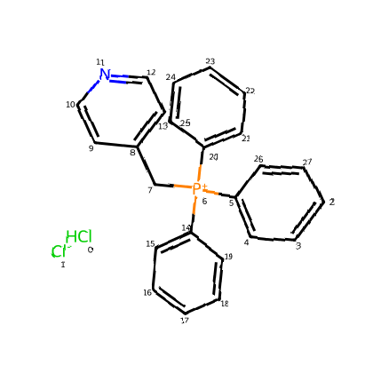 Cl.[Cl-].c1ccc([P+](Cc2ccncc2)(c2ccccc2)c2ccccc2)cc1